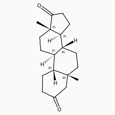 C[C@]12CC[C@@H]3[C@H](CC[C@]4(C)C(=O)CC[C@@H]34)[C@H]1CCC(=O)C2